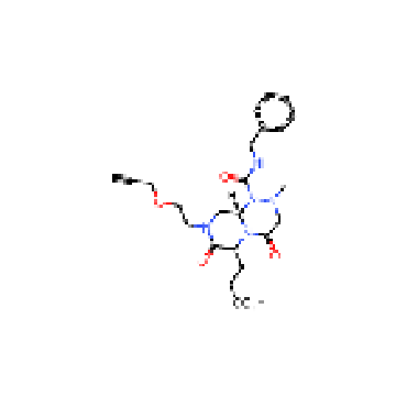 C#CCOCCN1C[C@H]2N(C(=O)CN(C)N2C(=O)NCc2ccccc2)[C@@H](CCC(=O)O)C1=O